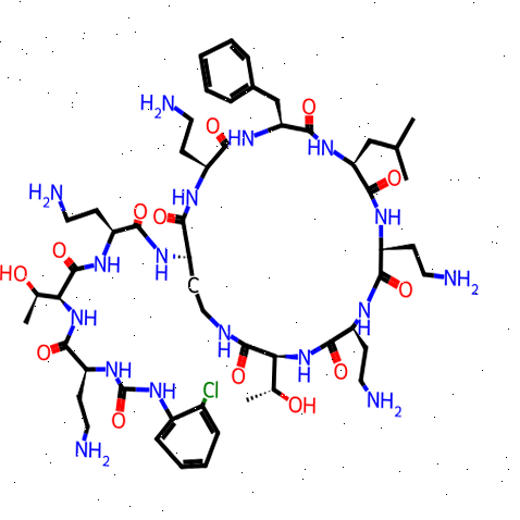 CC(C)C[C@@H]1NC(=O)[C@H](Cc2ccccc2)NC(=O)[C@H](CCN)NC(=O)[C@@H](NC(=O)[C@H](CCN)NC(=O)[C@@H](NC(=O)[C@H](CCN)NC(=O)Nc2ccccc2Cl)[C@@H](C)O)CCNC(=O)[C@H]([C@@H](C)O)NC(=O)[C@H](CCN)NC(=O)[C@H](CCN)NC1=O